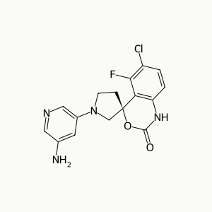 Nc1cncc(N2CC[C@]3(C2)OC(=O)Nc2ccc(Cl)c(F)c23)c1